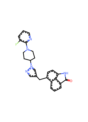 O=C1Nc2ccc(Cc3cnn(C4CCN(c5ncccc5F)CC4)c3)c3cccc1c23